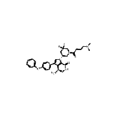 CN(C)C/C=C/C(=O)N1C[C@H](n2cc(-c3ccc(Oc4ccccc4)cc3)c3c(N)n[nH]c(=O)c32)CC(F)(F)C1